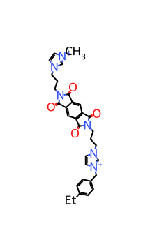 CCc1ccc(C[n+]2ccn(CCCn3c(=O)c4cc5c(=O)n(CCCn6cc[n+](C)c6)c(=O)c5cc4c3=O)c2)cc1